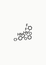 O=C(NC(c1ccccc1)c1c[nH]c2cc(Cl)ccc2c1=O)c1cccc(F)c1F